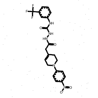 O=C(CC1=CCN(c2ccc([N+](=O)[O-])cc2)CC1)NNC(=O)Nc1cccc(C(F)(F)F)c1